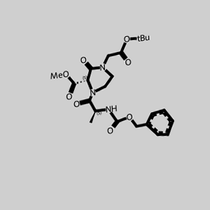 COC(=O)[C@@H]1C(=O)N(CC(=O)OC(C)(C)C)CCN1C(=O)[C@H](C)NC(=O)OCc1ccccc1